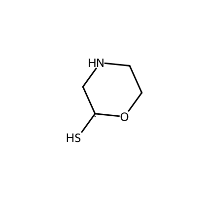 S[C]1CNCCO1